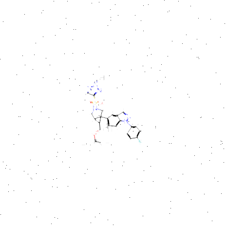 Cc1cc2c(cnn2-c2ccc(F)cc2)cc1C12CN(S(=O)(=O)c3cnn(C)n3)CC1C2COC(C)C